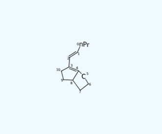 CCCC=CC1=C2CCCC2CC1